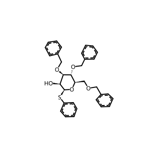 O[C@H]1[C@@H](OCc2ccccc2)[C@H](OCc2ccccc2)[C@@H](COCc2ccccc2)O[C@H]1Sc1ccccc1